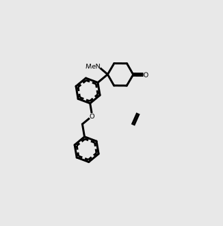 C=C.CNC1(c2cccc(OCc3ccccc3)c2)CCC(=O)CC1